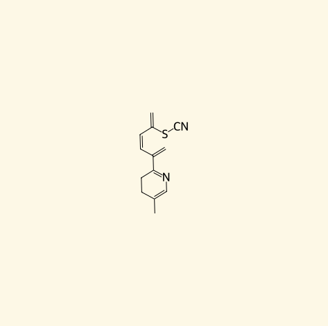 C=C(/C=C\C(=C)C1=NC=C(C)CC1)SC#N